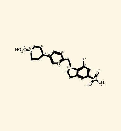 CS(=O)(=O)c1cc(F)c2c(c1)CCN2Cc1ccc(C2CCN(C(=O)O)CC2)cn1